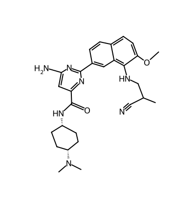 COc1ccc2ccc(-c3nc(N)cc(C(=O)N[C@H]4CC[C@@H](N(C)C)CC4)n3)cc2c1NCC(C)C#N